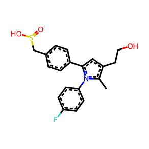 Cc1c(CCO)cc(-c2ccc(CS(=O)O)cc2)n1-c1ccc(F)cc1